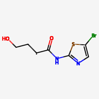 O=C([CH]CCO)Nc1ncc(Br)s1